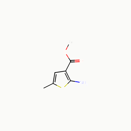 CCOC(=O)c1cc(C)sc1N